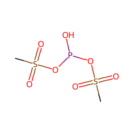 CS(=O)(=O)OP(O)OS(C)(=O)=O